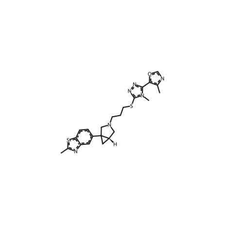 Cc1nc2cc(C34C[C@H]3CN(CCCSc3nnc(-c5ocnc5C)n3C)C4)ccc2s1